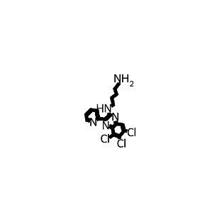 NCCCCCNc1nc2cc(Cl)c(Cl)c(Cl)c2nc1-c1ccccn1